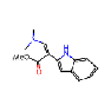 COC(=O)C(=CN(C)C)c1cc2ccccc2[nH]1